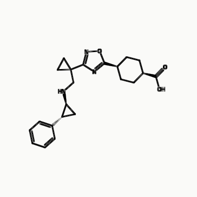 O=C(O)[C@H]1CC[C@@H](c2nc(C3(CN[C@H]4C[C@@H]4c4ccccc4)CC3)no2)CC1